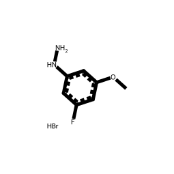 Br.COc1cc(F)cc(NN)c1